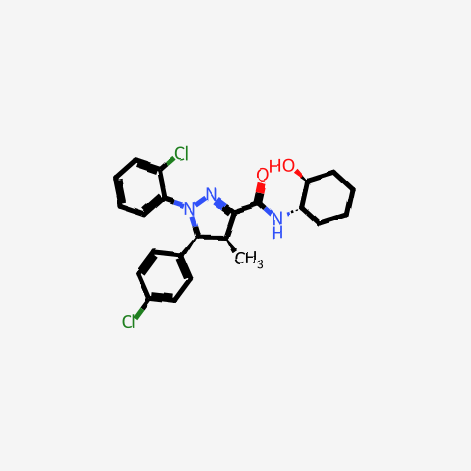 C[C@@H]1C(C(=O)N[C@H]2CCCC[C@@H]2O)=NN(c2ccccc2Cl)[C@@H]1c1ccc(Cl)cc1